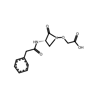 O=C(O)CON1C[C@H](NC(=O)Cc2ccccc2)C1=O